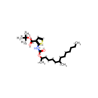 CCCCCCCC(C)CCCCC(C)OC(=O)Nc1sccc1C(=O)OC(C)(C)C